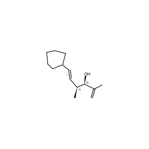 C=C(C)[C@H](O)[C@@H](C)/C=C/C1CCCCC1